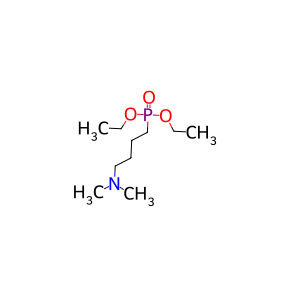 CCOP(=O)(CCCCN(C)C)OCC